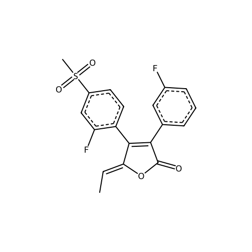 CC=C1OC(=O)C(c2cccc(F)c2)=C1c1ccc(S(C)(=O)=O)cc1F